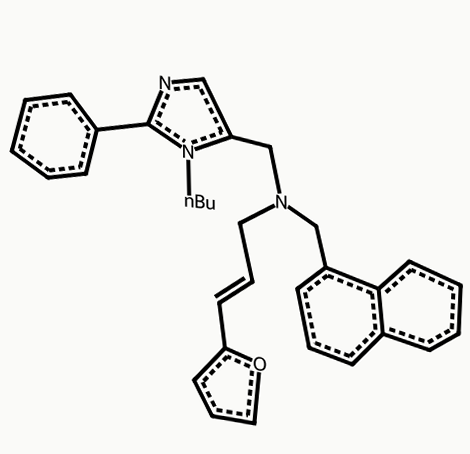 CCCCn1c(CN(CC=Cc2ccco2)Cc2cccc3ccccc23)cnc1-c1ccccc1